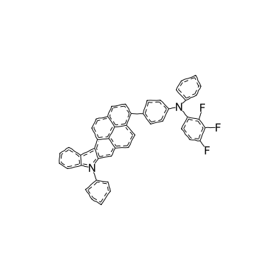 Fc1ccc(N(c2ccccc2)c2ccc(-c3ccc4ccc5c6c(ccc3c46)cc3c5c4ccccc4n3-c3ccccc3)cc2)c(F)c1F